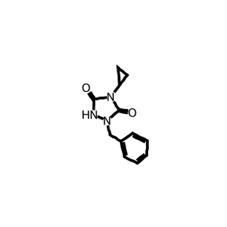 O=c1[nH]n(Cc2ccccc2)c(=O)n1C1CC1